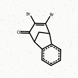 O=C1C(Br)=C(Br)C2CC1c1ccccc12